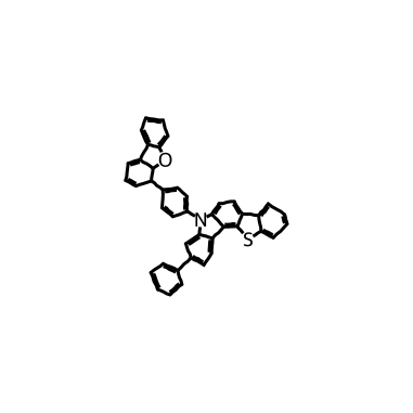 C1=CC(c2ccc(-n3c4cc(-c5ccccc5)ccc4c4c5sc6ccccc6c5ccc43)cc2)C2Oc3ccccc3C2=C1